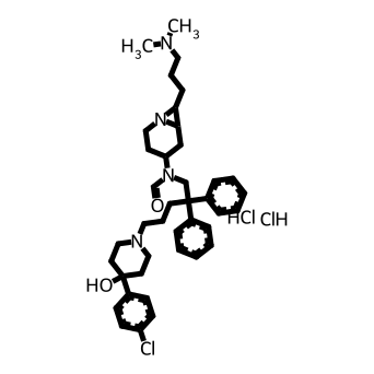 CN(C)CCCC1C2CC(N(C=O)CC(CCCN3CCC(O)(c4ccc(Cl)cc4)CC3)(c3ccccc3)c3ccccc3)CCN12.Cl.Cl